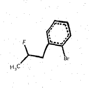 CC(F)Cc1ccccc1Br